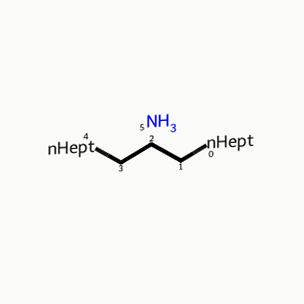 CCCCCCCCCCCCCCCCC.N